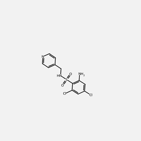 Nc1cc(Cl)cc(Cl)c1S(=O)(=O)NCc1ccncc1